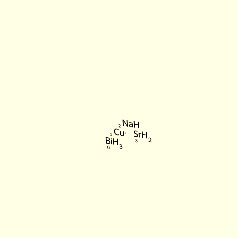 [BiH3].[Cu].[NaH].[SrH2]